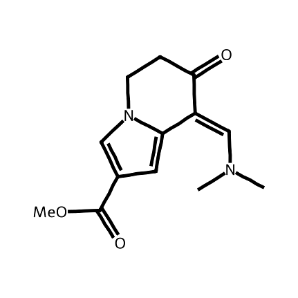 COC(=O)c1cc2n(c1)CCC(=O)C2=CN(C)C